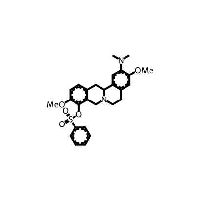 COc1cc2c(cc1N(C)C)C1Cc3ccc(OC)c(OS(=O)(=O)c4ccccc4)c3CN1CC2